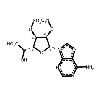 Nc1ncnc2c1ncn2[C@@H]1O[C@H](C(O)C(=O)O)[C@@H](O[N+](=O)[O-])[C@H]1O[N+](=O)[O-]